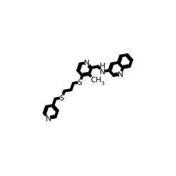 Cc1c(SCCCSCc2ccncc2)ccnc1CNc1cnc2ccccc2c1